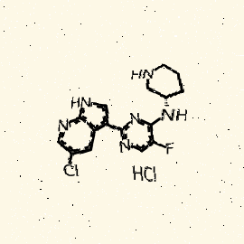 Cl.Fc1cnc(-c2c[nH]c3ncc(Cl)cc23)nc1N[C@H]1CCCNC1